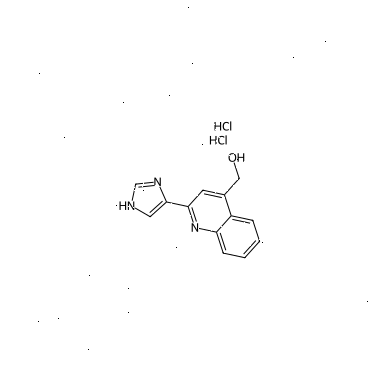 Cl.Cl.OCc1cc(-c2c[nH]cn2)nc2ccccc12